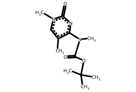 Cc1cn(C)c(=O)nc1N(C)C(=O)OC(C)(C)C